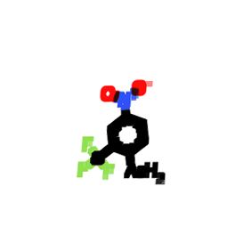 O=[N+]([O-])c1ccc([AsH2])c(C(F)(F)F)c1